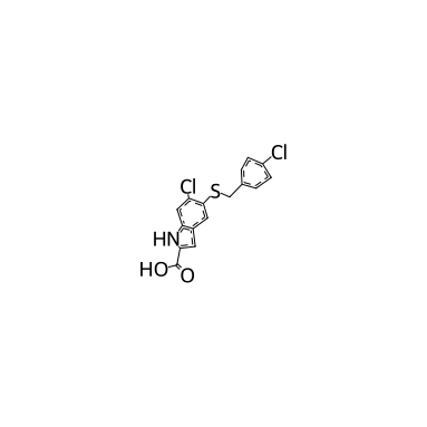 O=C(O)c1cc2cc(SCc3ccc(Cl)cc3)c(Cl)cc2[nH]1